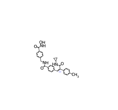 Cc1ccc(/C(=C/c2ccc(C(=O)NCc3ccc(C(=O)NO)cc3)cc2)C(=O)NC2CC2)cc1